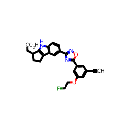 C#Cc1cc(OCCF)cc(-c2nc(-c3ccc4[nH]c5c(c4c3)CCC5CC(=O)O)no2)c1